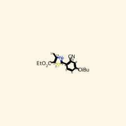 CCOC(=O)c1sc(-c2ccc(OCC(C)C)cc2C#N)nc1C